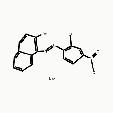 O=[N+]([O-])c1ccc(N=Nc2c(O)ccc3ccccc23)c(O)c1.[Na+]